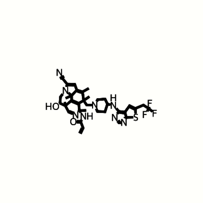 C=CC(=O)NC1(C)N=CC2(C)C3=C1C(C)(CN1CCC(Nc4ncnc5sc(CC(F)(F)F)cc45)CC1)C(C)=C1C=C(C#N)N(CC2O)C13C